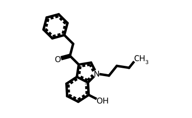 CCCCn1cc(C(=O)Cc2ccccc2)c2cccc(O)c21